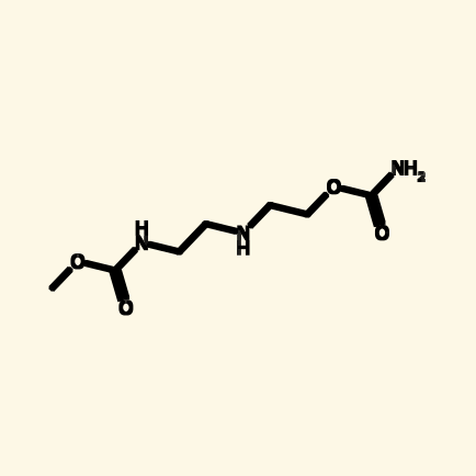 COC(=O)NCCNCCOC(N)=O